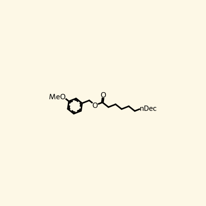 CCCCCCCCCCCCCCCC(=O)OCc1cccc(OC)c1